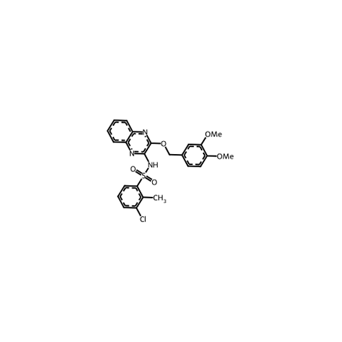 COc1ccc(COc2nc3ccccc3nc2NS(=O)(=O)c2cccc(Cl)c2C)cc1OC